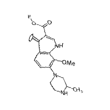 COc1c(N2CCNC(C)C2)ccc2c(=O)c(C(=O)OF)c[nH]c12